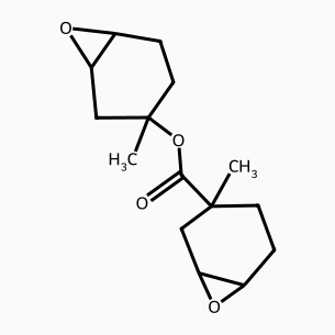 CC1(OC(=O)C2(C)CCC3OC3C2)CCC2OC2C1